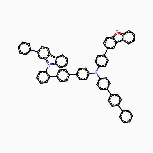 c1ccc(-c2ccc(-c3ccc(N(c4ccc(-c5ccc(-c6ccccc6-n6c7ccccc7c7ccc(-c8ccccc8)cc76)cc5)cc4)c4ccc(-c5ccc6oc7ccccc7c6c5)cc4)cc3)cc2)cc1